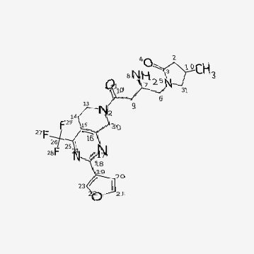 CC1CC(=O)N(C[C@H](N)CC(=O)N2CCc3c(nc(-c4ccoc4)nc3C(F)(F)F)C2)C1